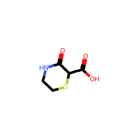 O=C(O)C1SCCNC1=O